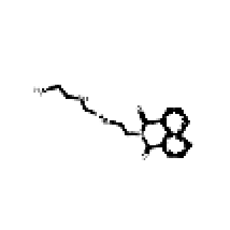 NCCNCCNCCN1C(=O)c2cccc3cccc(c23)C1=O